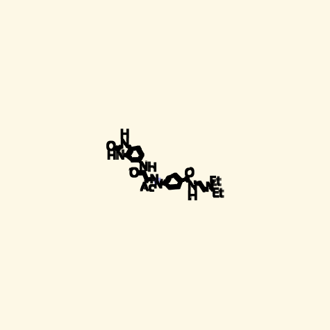 CCN(CC)CCNC(=O)c1ccc(/N=N/C(C(C)=O)C(=O)Nc2ccc3[nH]c(=O)[nH]c3c2)cc1